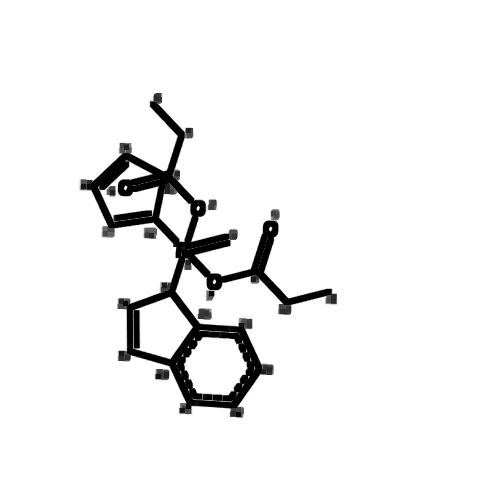 [CH2]=[Ti]([O]C(=O)CC)([O]C(=O)CC)([C]1=CC=CC1)[CH]1C=Cc2ccccc21